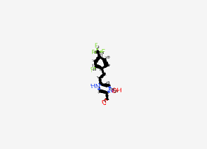 O=CC1=CNC(CCc2ccc(C(F)(F)F)cc2F)=CN1O